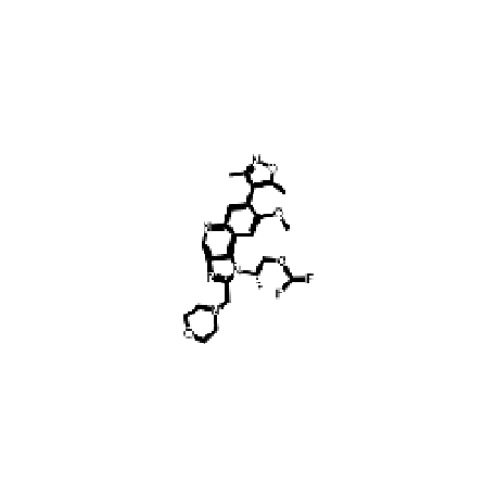 COc1cc2c(cc1-c1c(C)noc1C)ncc1nc(CN3CCOCC3)n([C@@H](C)COC(F)F)c12